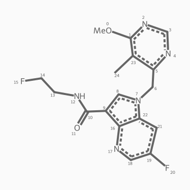 COc1ncnc(Cn2cc(C(=O)NCCF)c3ncc(F)cc32)c1C